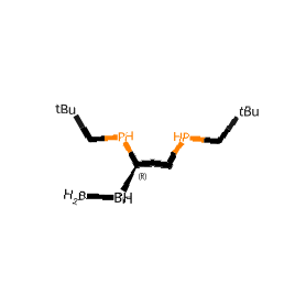 BB[C@H](CPCC(C)(C)C)PCC(C)(C)C